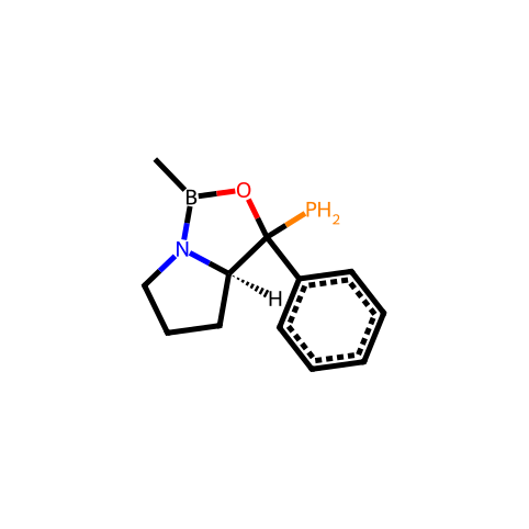 CB1OC(P)(c2ccccc2)[C@H]2CCCN12